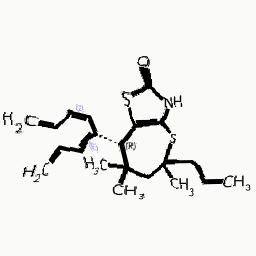 C=C/C=C\C(=C/C=C)[C@@H]1c2sc(=O)[nH]c2SC(C)(CCC)CC1(C)C